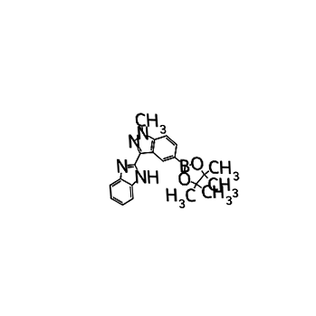 Cn1nc(-c2nc3ccccc3[nH]2)c2cc(B3OC(C)(C)C(C)(C)O3)ccc21